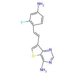 Nc1ccc(C=Cc2csc3c(N)ncnc23)c(F)c1